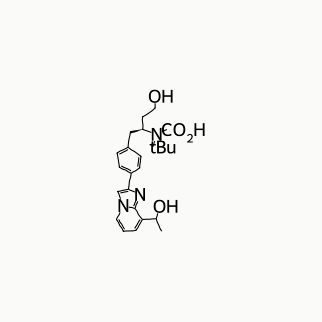 CC(O)c1cccn2cc(-c3ccc(C[C@@H](CCO)N(C(=O)O)C(C)(C)C)cc3)nc12